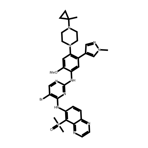 COc1cc(N2CCN(C3(C)CC3)CC2)c(-c2cnn(C)c2)cc1Nc1ncc(Br)c(Nc2ccc3nccnc3c2P(C)(C)=O)n1